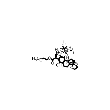 COCCOC(=O)c1coc2c(O[Si](C)(C)C(C)(C)C)c3c(c(C)c12)CCC1(C)[C@H]3CCC12OCCO2